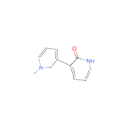 CN1C=CC=C(c2ccc[nH]c2=O)C1